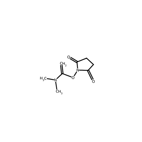 C=C(ON1C(=O)CCC1=O)N(C)C